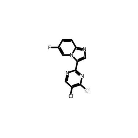 Fc1ccc2ncc(-c3ncc(Cl)c(Cl)n3)n2c1